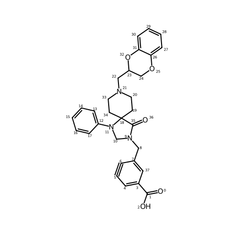 O=C(O)c1cc#cc(CN2CN(c3ccccc3)C3(CCN(CC4COc5ccccc5O4)CC3)C2=O)c1